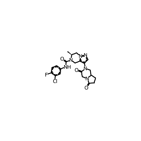 C[C@H]1Cn2ncc(N3CC4CCC(=O)N4CC3=O)c2CN1C(=O)Nc1ccc(F)c(Cl)c1